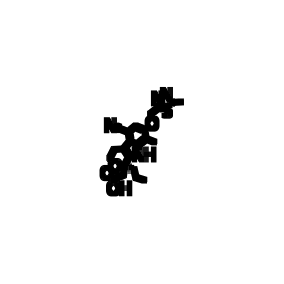 CCC[C@]1(CC(=O)O)OCCc2c1[nH]c1c(C)c(OCc3nnc(C)s3)cc(C#N)c21